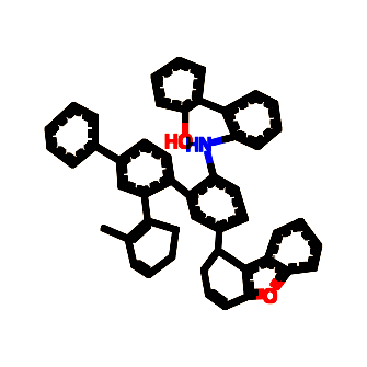 CC1=C(c2cc(-c3ccccc3)ccc2-c2cc(C3CC=Cc4oc5ccccc5c43)ccc2Nc2ccccc2-c2ccccc2O)CCC=C1